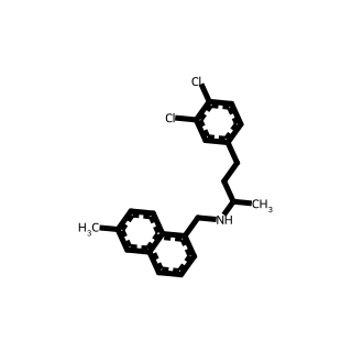 Cc1ccc2c(CNC(C)CCc3ccc(Cl)c(Cl)c3)cccc2c1